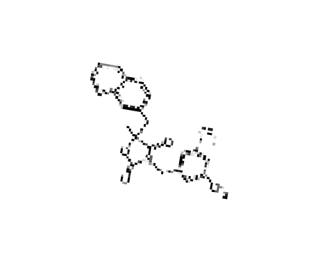 CC1(Cc2ccc3ccccc3c2)OC(=O)N(Cc2cc(C(F)(F)F)cc(C(F)(F)F)c2)C1=O